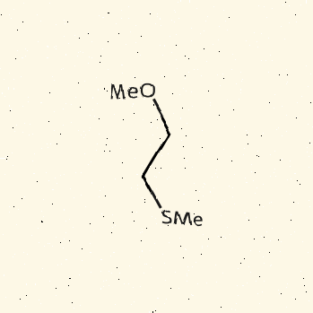 [CH2]OCCSC